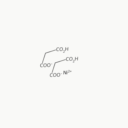 O=C([O-])CC(=O)O.O=C([O-])CC(=O)O.[Ni+2]